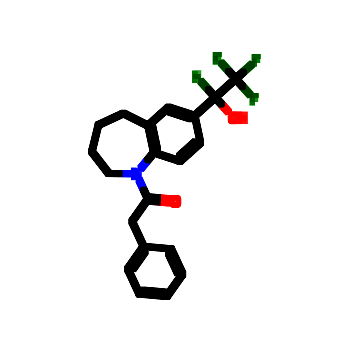 O=C(Cc1ccccc1)N1CCCCc2cc(C(O)(F)C(F)(F)F)ccc21